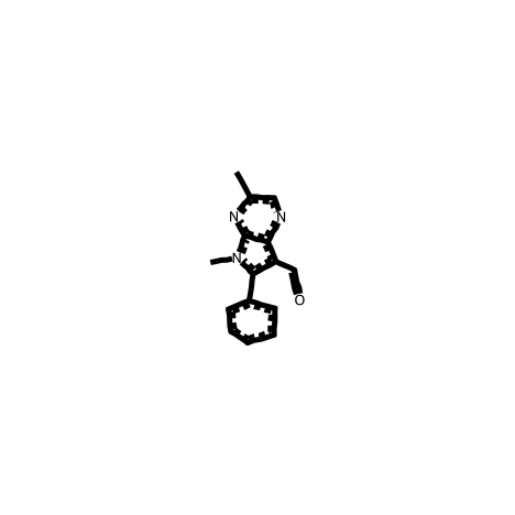 Cc1cnc2c(C=O)c(-c3ccccc3)n(C)c2n1